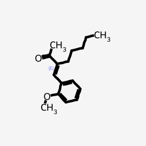 CCCCC/C(=C\c1ccccc1OC)C(C)=O